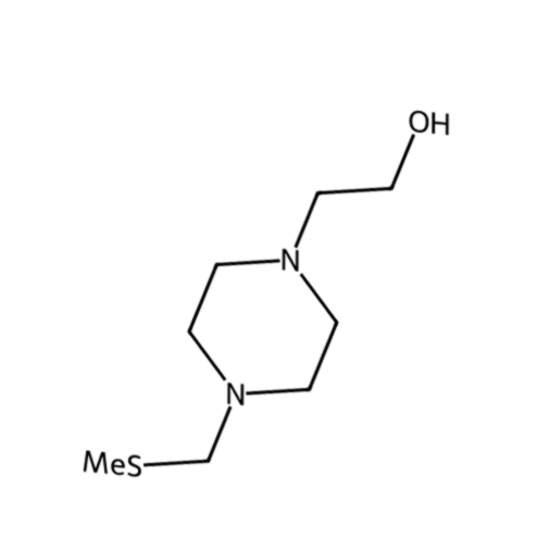 CSCN1CCN(CCO)CC1